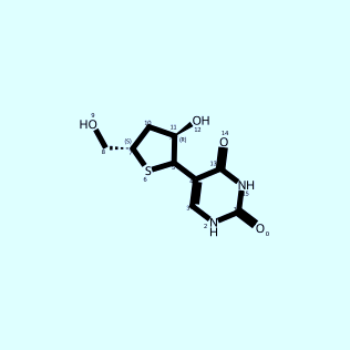 O=c1[nH]cc(C2S[C@H](CO)C[C@H]2O)c(=O)[nH]1